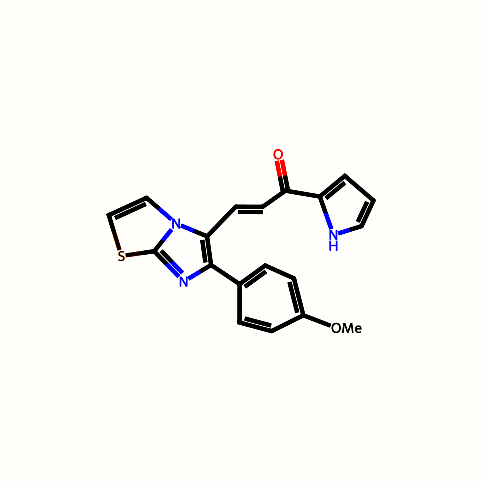 COc1ccc(-c2nc3sccn3c2/C=C/C(=O)c2ccc[nH]2)cc1